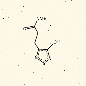 CNC(=O)CCc1nsnc1O